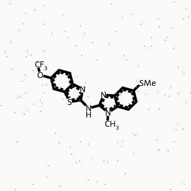 CSc1ccc2c(c1)nc(Nc1nc3ccc(OC(F)(F)F)cc3s1)n2C